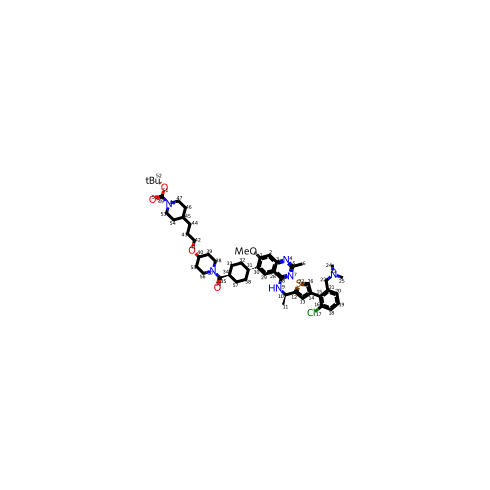 COc1cc2nc(C)nc(N[C@H](C)c3cc(-c4c(Cl)cccc4CN(C)C)cs3)c2cc1[C@H]1CC[C@H](C(=O)N2CCC(OCCCC3CCN(C(=O)OC(C)(C)C)CC3)CC2)CC1